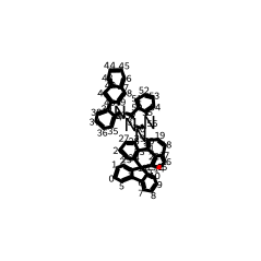 c1ccc2c(c1)-c1ccccc1C21c2cccc3ccc4c(c23)c2c1cccc2n4-c1nc(-n2c3ccccc3c3cc4ccccc4cc32)c2ccccc2n1